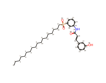 CCCCCCCCCCCCCCCCCCS(=O)(=O)c1cccc(NC(=O)C=Cc2cccc(O)c2)c1